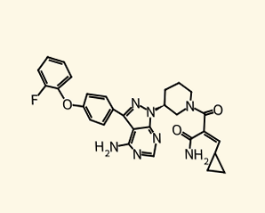 NC(=O)C(=CC1CC1)C(=O)N1CCC[C@H](n2nc(-c3ccc(Oc4ccccc4F)cc3)c3c(N)ncnc32)C1